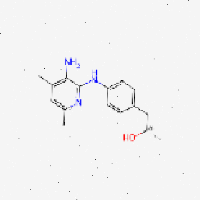 Cc1cc(C)c(N)c(Nc2ccc(C[C@H](C)O)cc2)n1